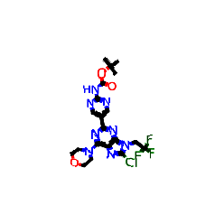 CC(C)(C)OC(=O)Nc1ncc(-c2nc(N3CCOCC3)c3nc(Cl)n(CC(F)(F)F)c3n2)cn1